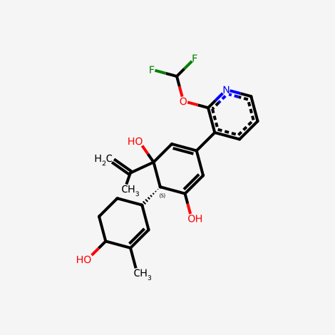 C=C(C)C1(O)C=C(c2cccnc2OC(F)F)C=C(O)[C@@H]1C1C=C(C)C(O)CC1